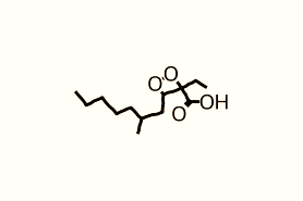 CCCCCC(C)CC1OOC1(CC)C(=O)O